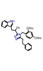 COc1ccc(Cn2c(CCc3ccccc3)nnc2[CH]([Fe])Cc2c[nH]c3ccccc23)c(OC)c1